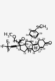 COCC(=O)[C@@]1(C#CC(F)(F)F)CC[C@H]2[C@@H]3CCC4=CC(=O)CCC4=C3[C@@H](c3ccc(SC)cc3)C[C@@]21C